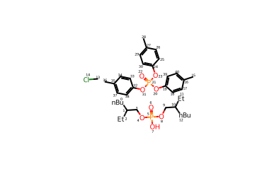 CCCCC(CC)COP(=O)(O)OCC(CC)CCCC.CCl.Cc1ccc(OP(=O)(Oc2ccc(C)cc2)Oc2ccc(C)cc2)cc1